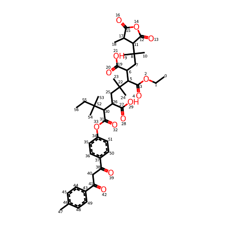 CCOC(=O)C(C(CC(C)(C)C1C(=O)OC(=O)C1C)C(=O)O)C(C)(C)CC(C(=O)O)C(C(=O)Oc1ccc(C(=O)CC(=O)c2ccc(C)cc2)cc1)C(C)(C)CC